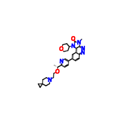 C[C@@H](OCCN1CCC2(CC1)CC2)c1ccc(-c2ccc3nnc4c(c3c2)n(C2CCOCC2)c(=O)n4C)cn1